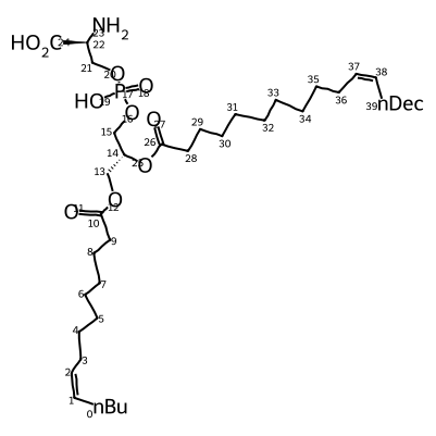 CCCC/C=C\CCCCCCCC(=O)OC[C@H](COP(=O)(O)OC[C@H](N)C(=O)O)OC(=O)CCCCCCCCC/C=C\CCCCCCCCCC